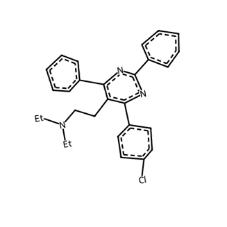 CCN(CC)CCc1c(-c2ccccc2)nc(-c2ccccc2)nc1-c1ccc(Cl)cc1